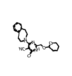 N#Cc1c(N2CCc3ccccc3CC2)nc(COC2CCCCO2)[nH]c1=O